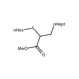 CCCCCCCCC(SCCCCCC)C(=O)OC